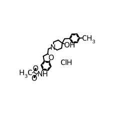 Cc1ccc(CC2(O)CCN(CC3Cc4cc(NS(C)(=O)=O)ccc4O3)CC2)cc1.Cl